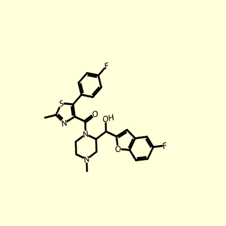 Cc1nc(C(=O)N2CCN(C)CC2C(O)c2cc3cc(F)ccc3o2)c(-c2ccc(F)cc2)s1